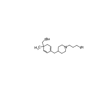 CC(C)CCCN1CCC(CC2=CCC(C)(CC(C)(C)C)C=C2)CC1